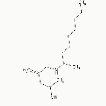 C=C(CNC(C)CCCCCCC)CC(C)C